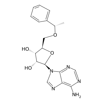 C[C@H](OC[C@H]1O[C@@H](n2cnc3c(N)ncnc32)[C@H](O)[C@@H]1O)c1ccccc1